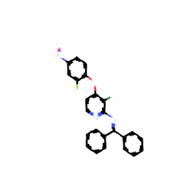 O=Nc1ccc(Oc2ccnc(N=C(c3ccccc3)c3ccccc3)c2Cl)c(F)c1